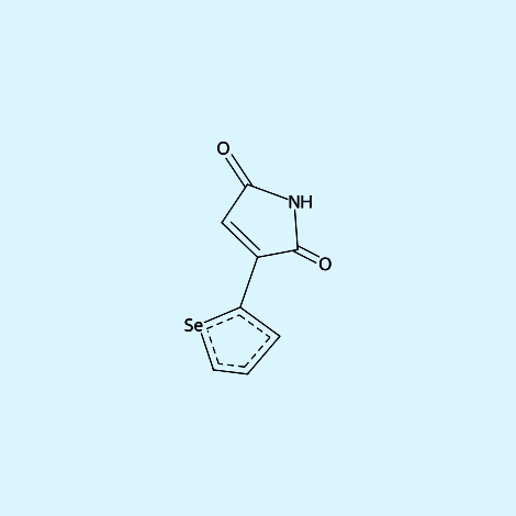 O=C1C=C(c2ccc[se]2)C(=O)N1